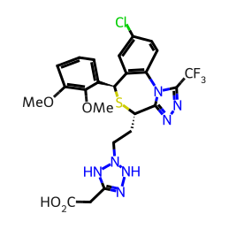 COc1cccc([C@@H]2S[C@@H](CCN3NN=C(CC(=O)O)N3)c3nnc(C(F)(F)F)n3-c3ccc(Cl)cc32)c1OC